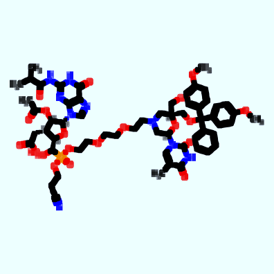 COc1ccc(C(OC[C@]2(CO)CN(CCOCCOCCOP(=O)(OCCC#N)C(O)[C@@H]3O[C@@H](n4cnc5c(=O)[nH]c(NC(=O)C(C)C)nc54)[C@H](OC(C)=O)[C@H]3CC(=O)O)C[C@H](n3cc(C)c(=O)[nH]c3=O)O2)(c2ccccc2)c2ccc(OC)cc2)cc1